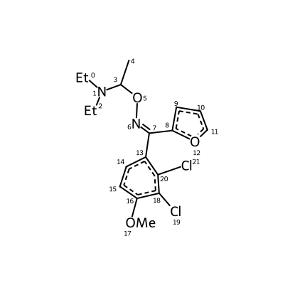 CCN(CC)C(C)ON=C(c1ccco1)c1ccc(OC)c(Cl)c1Cl